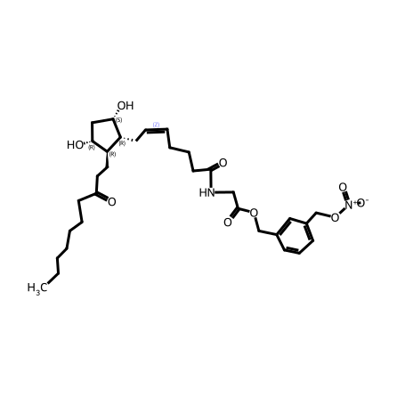 CCCCCCCC(=O)CC[C@@H]1[C@@H](C/C=C\CCCC(=O)NCC(=O)OCc2cccc(CO[N+](=O)[O-])c2)[C@@H](O)C[C@H]1O